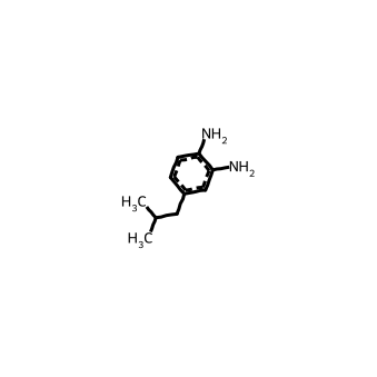 CC(C)Cc1ccc(N)c(N)c1